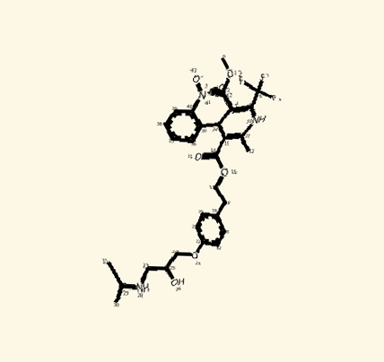 COC(=O)C1=C(C(F)(F)F)NC(C)=C(C(=O)OCCc2ccc(OCC(O)CNC(C)C)cc2)C1c1ccccc1[N+](=O)[O-]